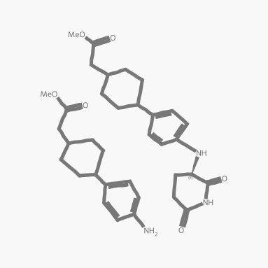 COC(=O)CC1CCC(c2ccc(N)cc2)CC1.COC(=O)CC1CCC(c2ccc(N[C@@H]3CCC(=O)NC3=O)cc2)CC1